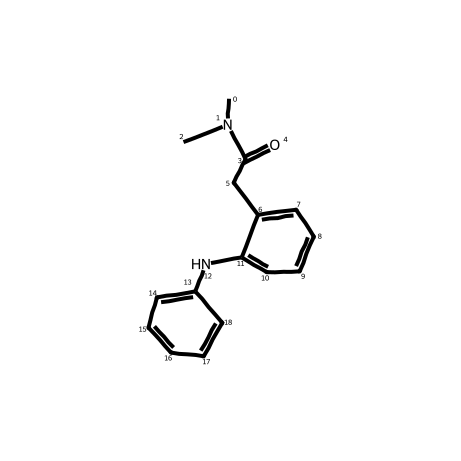 CN(C)C(=O)Cc1ccccc1Nc1ccccc1